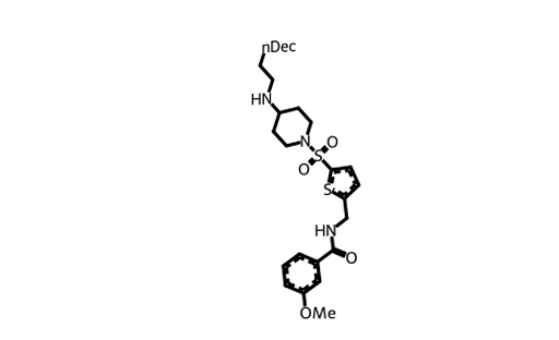 CCCCCCCCCCCCNC1CCN(S(=O)(=O)c2ccc(CNC(=O)c3cccc(OC)c3)s2)CC1